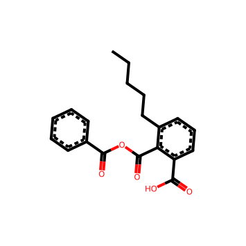 CCCCCc1cccc(C(=O)O)c1C(=O)OC(=O)c1ccccc1